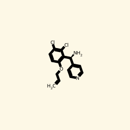 C=CCOc1ccc(Cl)c(Cl)c1[C@@H](N)c1ccncc1